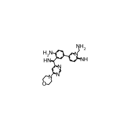 N=C(c1cc(N2CCOCC2)ncn1)c1cc(-c2ccc(=N)n(CN)c2)ccc1N